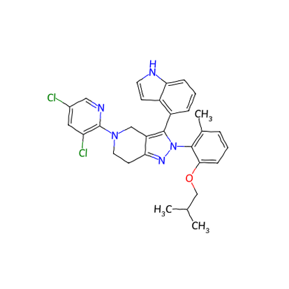 Cc1cccc(OCC(C)C)c1-n1nc2c(c1-c1cccc3[nH]ccc13)CN(c1ncc(Cl)cc1Cl)CC2